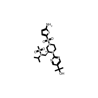 CC(C)N(C[C@H]1CN(S(=O)(=O)c2ccc(N)s2)CCN1c1ncc(C(C)(C)O)cn1)S(C)(=O)=O